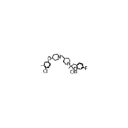 Cc1cc(OC2CCN(CC3CCN(C(C)(Cc4ccc(F)cc4)C(=O)O)CC3)CC2)ccc1Cl